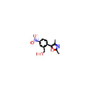 Cc1nc(C)c(-c2ccc([N+](=O)[O-])cc2CO)o1